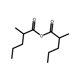 CCCC(C)C(=O)OC(=O)C(C)CCC